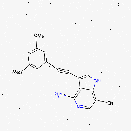 COc1cc(C#Cc2c[nH]c3c(C#N)cnc(N)c23)cc(OC)c1